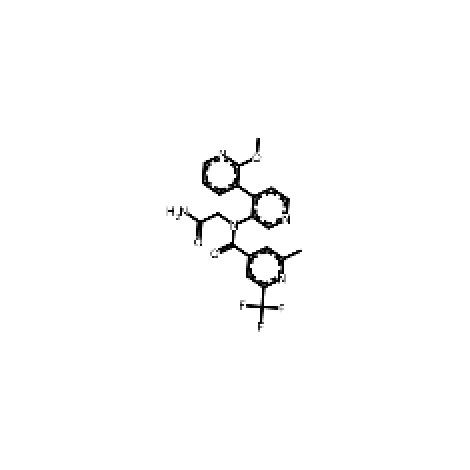 COc1ncccc1-c1ccncc1N(CC(N)=O)C(=O)c1cc(C)nc(C(F)(F)F)c1